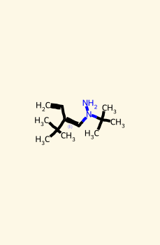 C=C/C(=C\N(N)C(C)(C)C)C(C)(C)C